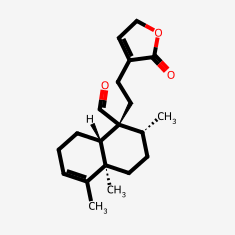 CC1=CCC[C@@H]2[C@@](C=O)(CCC3=CCOC3=O)[C@H](C)CC[C@@]12C